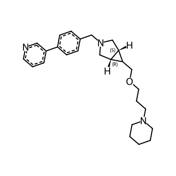 c1cncc(-c2ccc(CN3C[C@@H]4C(COCCCN5CCCCC5)[C@@H]4C3)cc2)c1